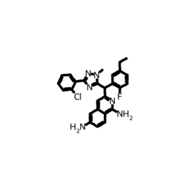 CCc1ccc(F)c(C(c2cc3cc(N)ccc3c(N)n2)c2nc(-c3ccccc3Cl)nn2C)c1